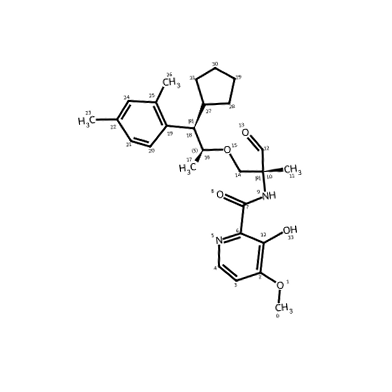 COc1ccnc(C(=O)N[C@@](C)(C=O)CO[C@@H](C)[C@@H](c2ccc(C)cc2C)C2CCCC2)c1O